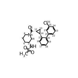 CS(=O)(=O)N[C@@H]1CCCN(C(=O)[C@@H]2C[C@H]2c2ccccc2-c2cccc(Cl)c2)C1